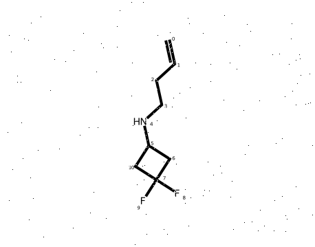 C=CCCNC1CC(F)(F)C1